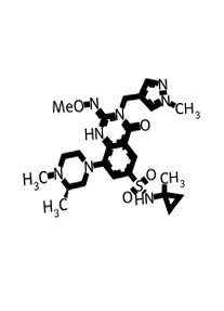 CO/N=c1\[nH]c2c(N3CCN(C)[C@H](C)C3)cc(S(=O)(=O)NC3(C)CC3)cc2c(=O)n1Cc1cnn(C)c1